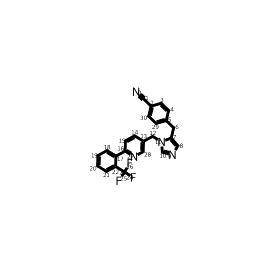 N#Cc1ccc(Cc2cncn2Cc2ccc(-c3ccccc3C(F)(F)F)nc2)cc1